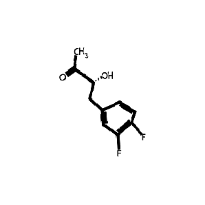 CC(=O)[C@H](O)Cc1ccc(F)c(F)c1